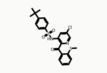 CSc1ccccc1C(=O)c1ncc(Cl)cc1NS(=O)(=O)c1ccc(C(C)(C)C)cc1